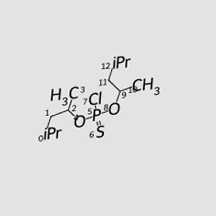 CC(C)CC(C)OP(=S)(Cl)OC(C)CC(C)C